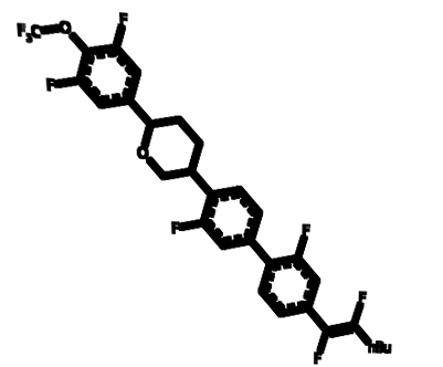 CCCC/C(F)=C(\F)c1ccc(-c2ccc(C3CCC(c4cc(F)c(OC(F)(F)F)c(F)c4)OC3)c(F)c2)c(F)c1